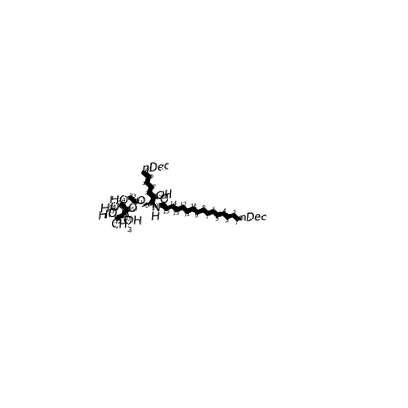 CCCCCCCCCCCCCCCCCCCCCCCCCC(=O)N[C@@H](COC(CO)OC(CO)C(O)C(C)O)C(O)CCCCCCCCCCCCCCC